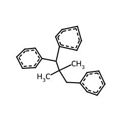 CC(C)(Cc1ccccc1)C(c1ccccc1)c1ccccc1